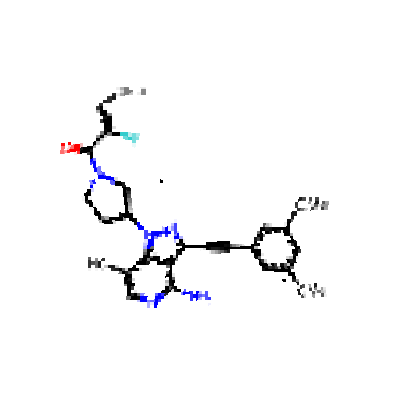 COc1cc(C#Cc2nn(C3CCN(C(=O)C(F)=CC(C)(C)C)C3)c3c(C#N)cnc(N)c23)cc(OC)c1